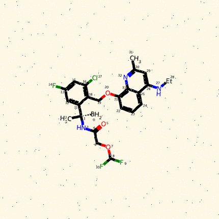 B[C@@](C)(NC(=O)COC(F)F)c1cc(F)cc(Cl)c1COc1cccc2c(NCC)cc(C)nc12